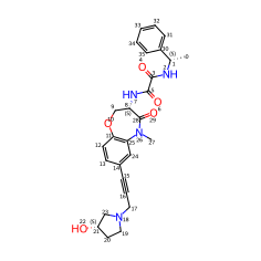 C[C@H](NC(=O)C(=O)N[C@H]1COc2ccc(C#CCN3CC[C@H](O)C3)cc2N(C)C1=O)c1ccccc1